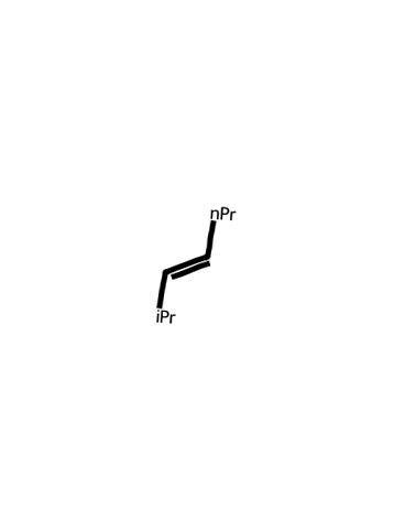 [CH2]C(C)C=CCCC